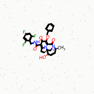 C[C@H]1C=C[C@H](O)[C@]23CCc4c(C(=O)NCc5c(F)cc(F)cc5F)c(=O)c(OCc5ccccc5)c(n42)C(=O)N1C3